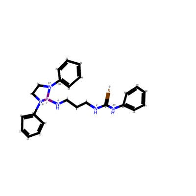 S=C(NCCCNP1N(c2ccccc2)CCN1c1ccccc1)Nc1ccccc1